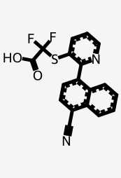 N#Cc1ccc(-c2ncccc2SC(F)(F)C(=O)O)c2ccccc12